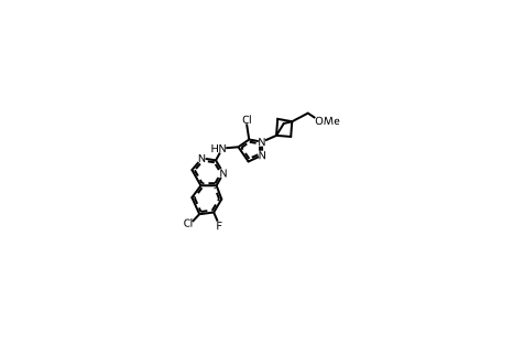 COCC12CC(n3ncc(Nc4ncc5cc(Cl)c(F)cc5n4)c3Cl)(C1)C2